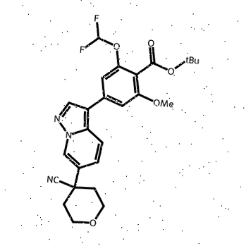 COc1cc(-c2cnn3cc(C4(C#N)CCOCC4)ccc23)cc(OC(F)F)c1C(=O)OC(C)(C)C